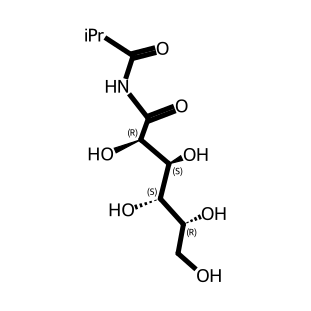 CC(C)C(=O)NC(=O)[C@H](O)[C@@H](O)[C@@H](O)[C@H](O)CO